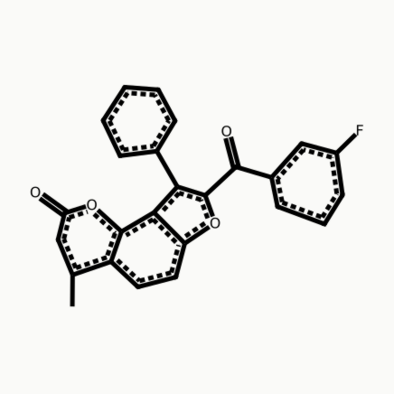 Cc1cc(=O)oc2c1ccc1oc(C(=O)c3cccc(F)c3)c(-c3ccccc3)c12